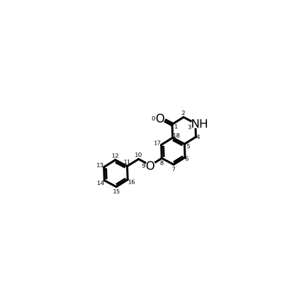 O=C1CNCc2ccc(OCc3ccccc3)cc21